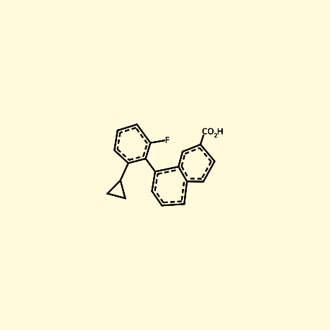 O=C(O)c1ccc2cccc(-c3c(F)cccc3C3CC3)c2c1